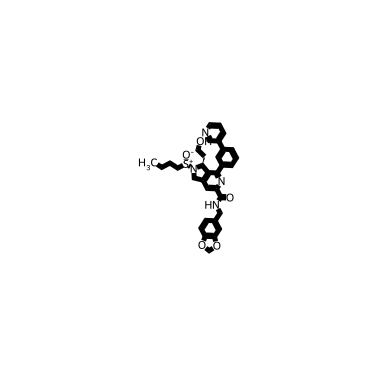 CCCC[S+]([O-])N1Cc2cc(C(=O)NCc3ccc4c(c3)OCO4)nc(-c3cccc(-c4cccnc4)c3)c2[C@H]1CCO